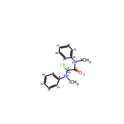 CN(C(=O)[C@H](F)N(C)c1ccccc1)c1ccccc1